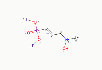 CC(=O)N(O)C/C=C/P(=O)(OI)OI